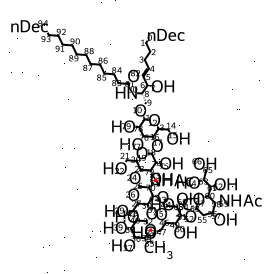 CCCCCCCCCCCCC/C=C/[C@@H](O)[C@H](CO[C@@H]1OC(CO)[C@@H](O[C@@H]2OC(CO)[C@H](O[C@@H]3OC(CO)[C@H](O[C@H]4OC(C)[C@@H](O)C(O)[C@@H]4O)[C@H](O[C@@H]4OC(CO)[C@H](O)[C@H](O[C@]5(C(=O)O)CC(O)[C@@H](NC(C)=O)C([C@H](O)[C@H](O)CO)O5)C4O)C3NC(C)=O)[C@H](O)C2O)[C@H](O)C1O)NC(=O)CCCCCCCCCCCCCCCCCCCCC